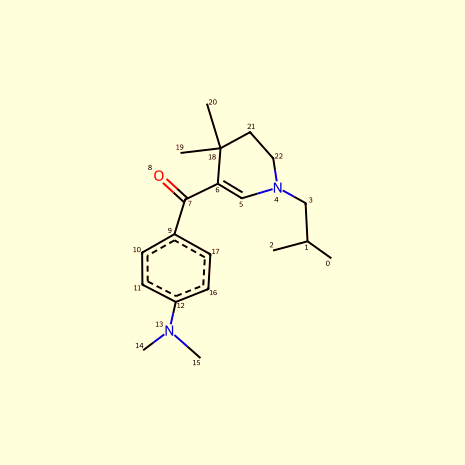 CC(C)CN1C=C(C(=O)c2ccc(N(C)C)cc2)C(C)(C)CC1